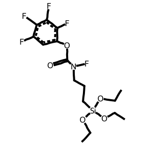 CCO[Si](CCCN(F)C(=O)Oc1cc(F)c(F)c(F)c1F)(OCC)OCC